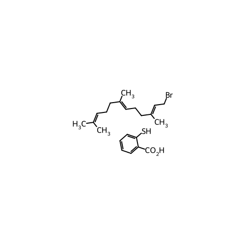 CC(C)=CCCC(C)=CCCC(C)=CCBr.O=C(O)c1ccccc1S